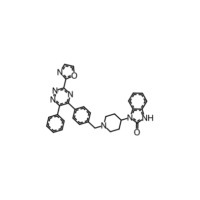 O=c1[nH]c2ccccc2n1C1CCN(Cc2ccc(-c3nc(-c4ncco4)nnc3-c3ccccc3)cc2)CC1